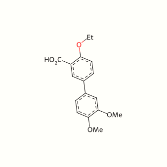 CCOc1ccc(-c2ccc(OC)c(OC)c2)cc1C(=O)O